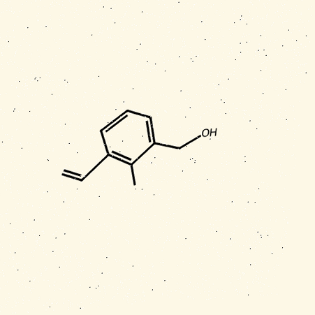 C=Cc1cccc(CO)c1C